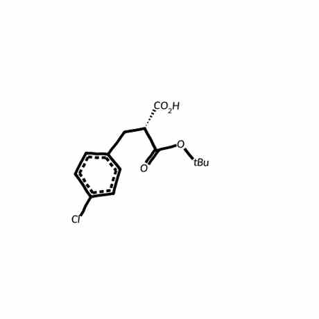 CC(C)(C)OC(=O)[C@H](Cc1ccc(Cl)cc1)C(=O)O